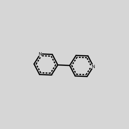 [c]1ccncc1-c1ccncc1